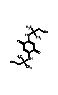 CC(C)(C)CC(C)(C)NC1=CC(=O)C(NC(C)(C)CC(C)(C)C)=CC1=O